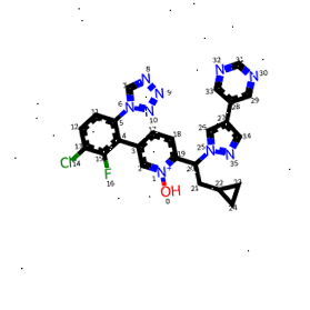 O[n+]1cc(-c2c(-n3cnnn3)ccc(Cl)c2F)ccc1C(CC1CC1)n1cc(-c2cncnc2)cn1